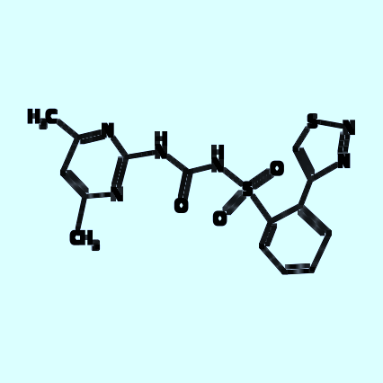 Cc1cc(C)nc(NC(=O)NS(=O)(=O)c2ccccc2-c2csnn2)n1